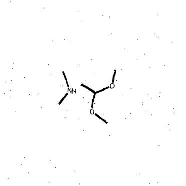 CNC.COC(C)OC